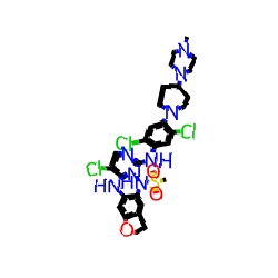 CN1CCN(C2CCN(c3cc(Cl)c(Nc4ncc(Cl)c(Nc5cc6c(cc5NS(C)(=O)=O)CCO6)n4)cc3Cl)CC2)CC1